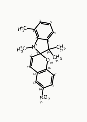 Cc1cccc2c1N(C)C1(C=Cc3cc([N+](=O)[O-])ccc3O1)C2(C)C